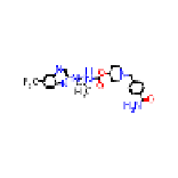 C[C@H](CNc1cnc2cc(C(F)(F)F)ccc2n1)NC(=O)OC1CCN(Cc2ccc(C(N)=O)cc2)CC1